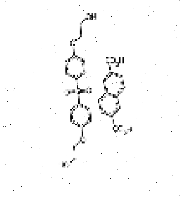 O=C(O)c1ccc2cc(C(=O)O)ccc2c1.O=S(=O)(c1ccc(OCCO)cc1)c1ccc(OCCO)cc1